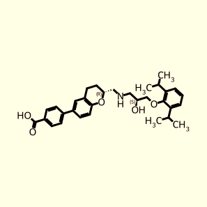 CC(C)c1cccc(C(C)C)c1OC[C@@H](O)CNC[C@H]1CCc2cc(-c3ccc(C(=O)O)cc3)ccc2O1